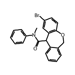 CN(C(=O)C1c2ccccc2COc2ccc(Br)cc21)c1ccccc1